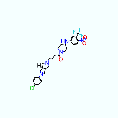 O=C(CCCN1CC2CN(c3ccc(Cl)cc3)C[C@@H]2C1)N1CCC(Nc2ccc([N+](=O)[O-])c(C(F)(F)F)c2)CC1